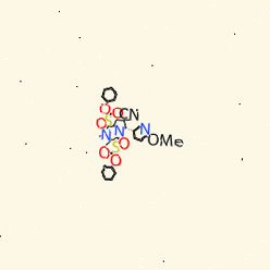 COc1ccc([C@@H]2N3C(=O)[C@](C)(SC(=O)Oc4ccccc4)N(C)C(=O)[C@@]3(SC(=O)Oc3ccccc3)C[C@]2(C)C#N)cn1